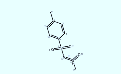 Cc1ccc(S(=O)(=O)/N=[SH](/C)=O)cc1